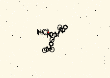 Cl.Cl.O=C(c1ccc(OCCCN(CCn2ccc3ccccc3c2=O)Cc2ccncc2)cc1)N1CCOCC1